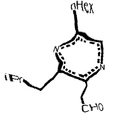 CCCCCCc1cnc(C=O)c(CC(C)C)n1